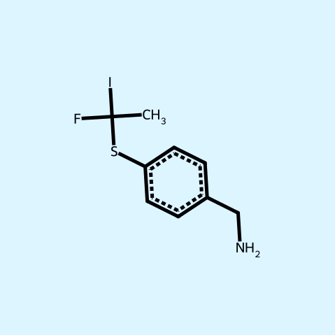 CC(F)(I)Sc1ccc(CN)cc1